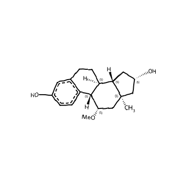 CO[C@H]1C[C@]2(C)C[C@@H](O)C[C@H]2[C@@H]2CCc3cc(O)ccc3[C@H]21